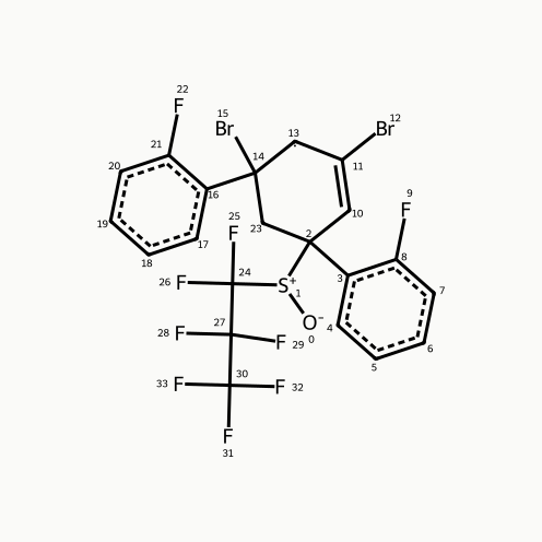 [O-][S+](C1(c2ccccc2F)C=C(Br)[CH]C(Br)(c2ccccc2F)C1)C(F)(F)C(F)(F)C(F)(F)F